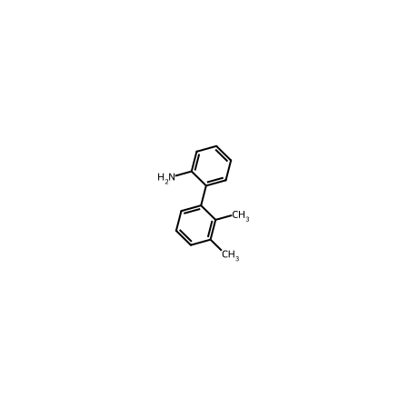 Cc1cccc(-c2ccccc2N)c1C